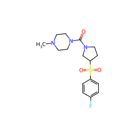 CN1CCN(C(=O)N2CCC(S(=O)(=O)c3ccc(F)cc3)C2)CC1